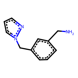 NCc1cccc(Cn2cccn2)c1